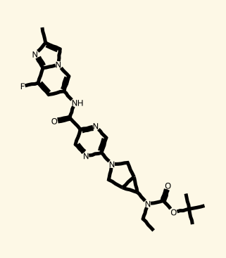 CCN(C(=O)OC(C)(C)C)C1C2CN(c3cnc(C(=O)Nc4cc(F)c5nc(C)cn5c4)cn3)CC21